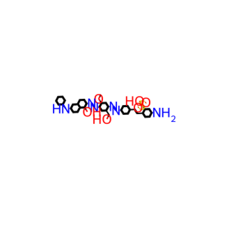 COc1cc(N=Nc2ccc(C=Cc3ccc(N)cc3S(=O)(=O)O)cc2)c(CO)cc1N=Nc1ccc2cc(Nc3ccccc3)ccc2c1O